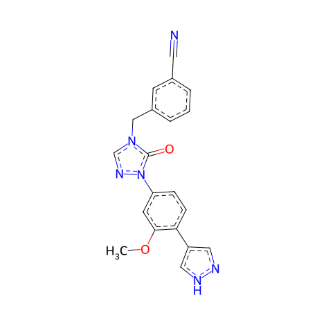 COc1cc(-n2ncn(Cc3cccc(C#N)c3)c2=O)ccc1-c1cn[nH]c1